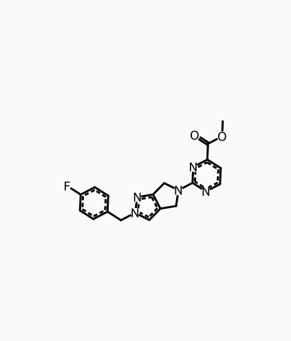 COC(=O)c1ccnc(N2Cc3cn(Cc4ccc(F)cc4)nc3C2)n1